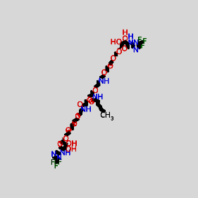 CCCCCCC(=O)NC(COCCCNCCOCCOCCOCCOC[C@H]1OC[C@H](Nc2cncc(C(F)(F)F)n2)[C@@H](O)[C@H]1O)COCCC(=O)NCCOCCOCCOCCOC[C@H]1OC[C@H](Nc2cncc(C(F)(F)F)n2)[C@@H](O)[C@H]1O